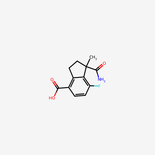 CC1(C(N)=O)CCc2c(C(=O)O)ccc(F)c21